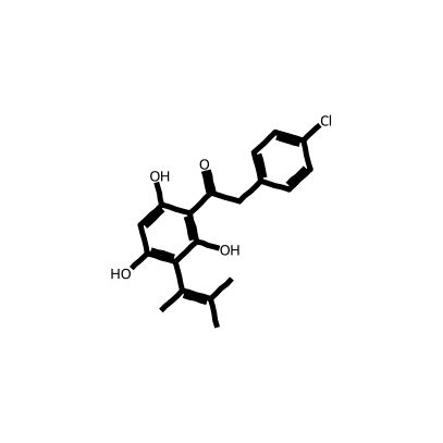 CC(C)=C(C)c1c(O)cc(O)c(C(=O)Cc2ccc(Cl)cc2)c1O